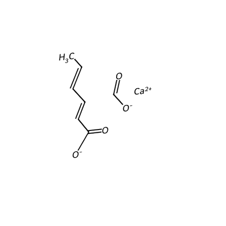 CC=CC=CC(=O)[O-].O=C[O-].[Ca+2]